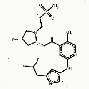 Cc1cnc(Nc2cnn(CC(F)F)c2)nc1NC[C@@H]1C[C@H](F)CN1CCS(C)(=O)=O